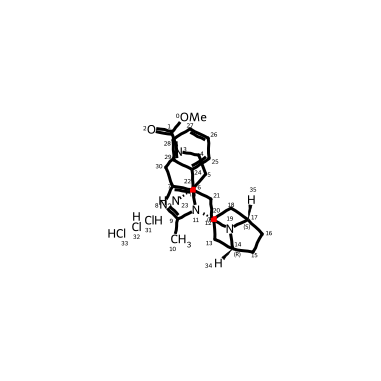 COC(=O)N1CCc2c(nc(C)n2[C@H]2C[C@H]3CC[C@@H](C2)N3CC[C@H](N)c2ccccc2)C1.Cl.Cl.Cl